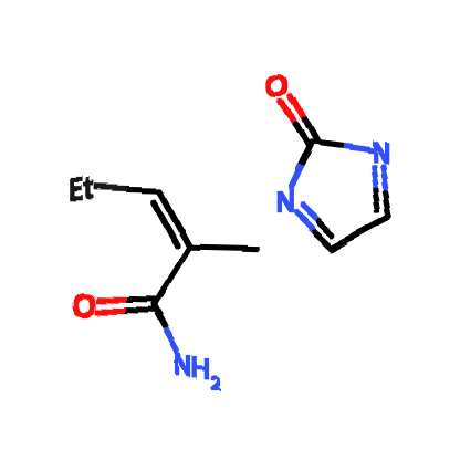 CCC=C(C)C(N)=O.O=C1N=CC=N1